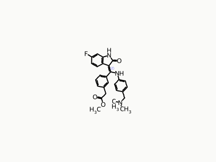 COC(=O)Cc1cccc(/C(Nc2ccc(CN(C)C)cc2)=C2/C(=O)Nc3cc(F)ccc32)c1